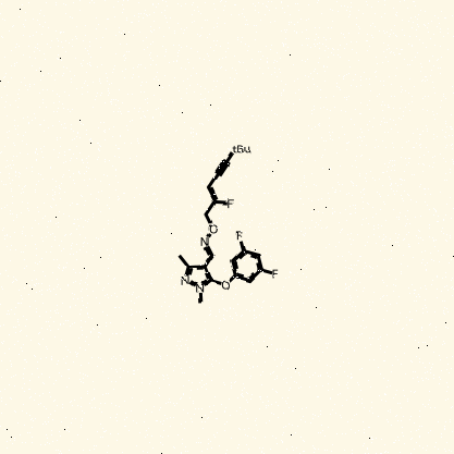 Cc1nn(C)c(Oc2cc(F)cc(F)c2)c1C=NOCC(F)=CC#CC(C)(C)C